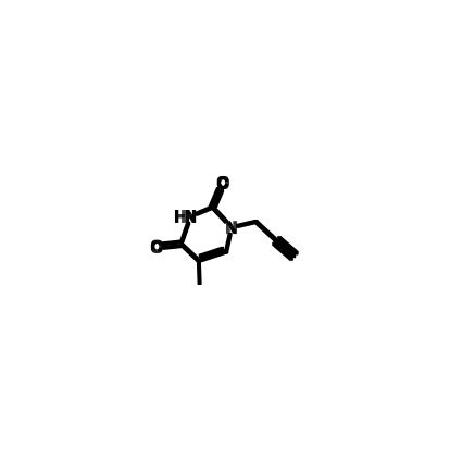 C#CCn1cc(C)c(=O)[nH]c1=O